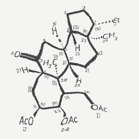 CC[C@H]1CC[C@H]2[C@@H]3CC(=O)[C@H]4C[C@H](OC(C)=O)[C@H](OC(C)=O)C(COC(C)=O)[C@]4(C)[C@H]3CC[C@]12C